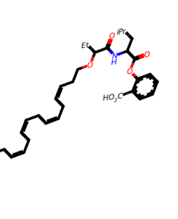 CC/C=C\C/C=C\C/C=C\C/C=C\C/C=C\CCOC(CC)C(=O)NC(CC(C)C)C(=O)Oc1ccccc1C(=O)O